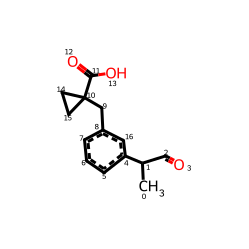 CC(C=O)c1cccc(CC2(C(=O)O)CC2)c1